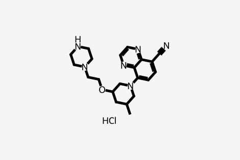 CC1CC(OCCN2CCNCC2)CN(c2ccc(C#N)c3nccnc23)C1.Cl